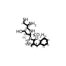 CCCCCSN(C(=O)C(C)Cc1ccccc1)[C@@](NCC(N)CS)(C(=O)O)[C@H](C)CO